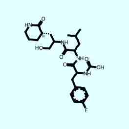 CC(C)CC(NC(=O)C(Cc1ccc(F)cc1)NC(=O)O)C(=O)NC(CO)C[C@@H]1CCCNC1=O